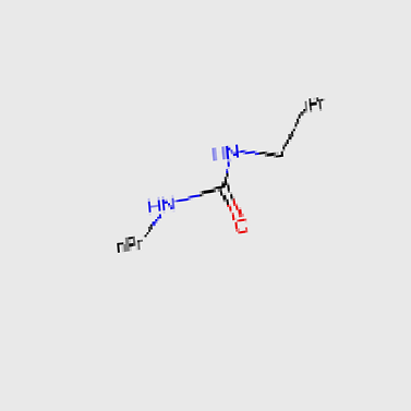 CCCNC(=O)NCC(C)C